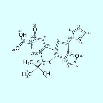 CC(C)(C)[C@@H]1Cc2c(cc(-c3cccs3)c3occc23)-c2cc(=O)c(C(=O)O)cn21